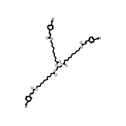 N#Cc1ccc(C=CC(=O)OCCCCCCCCCC(=O)OCC(COC(=O)CCCCCCCCCOC(=O)C=Cc2ccc(C#N)cc2)OC(=O)CCCCCCCCCOC(=O)C=Cc2ccc(C#N)cc2)cc1